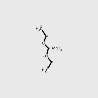 CCO[CH]OCC.[MgH2]